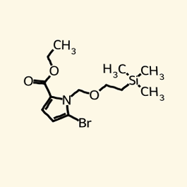 CCOC(=O)c1ccc(Br)n1COCC[Si](C)(C)C